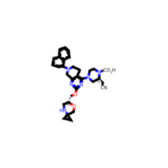 N#CC[C@H]1CN(c2nc(OC[C@H]3CNC4(CC4)CO3)nc3c2CCN(c2cccc4ccccc24)C3)CCN1C(=O)O